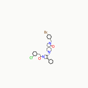 O=C(Cc1cccc(Cl)c1)N1C[C@H](CN2CCC3(CC2)CCN(Cc2ccc(Br)cc2)C3=O)[C@@H](c2ccccc2)C1